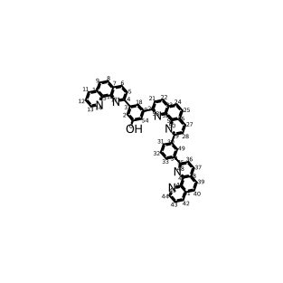 Oc1cc(-c2ccc3ccc4cccnc4c3n2)cc(-c2ccc3ccc4ccc(-c5cccc(-c6ccc7ccc8cccnc8c7n6)c5)nc4c3n2)c1